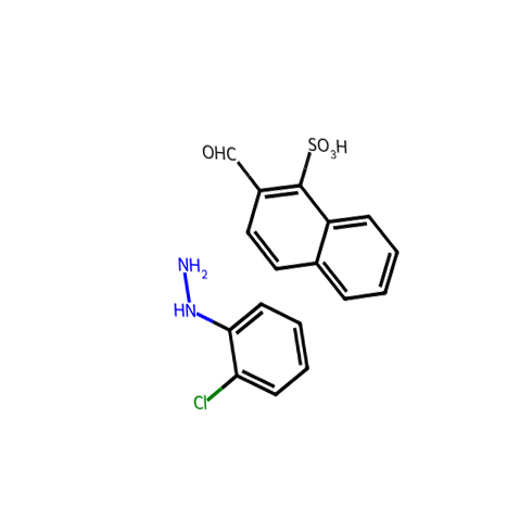 NNc1ccccc1Cl.O=Cc1ccc2ccccc2c1S(=O)(=O)O